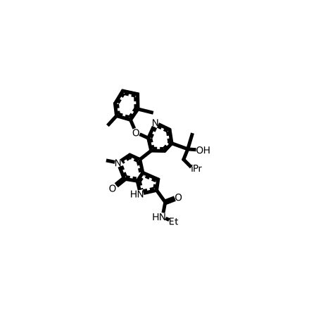 CCNC(=O)c1cc2c(-c3cc(C(C)(O)CC(C)C)cnc3Oc3c(C)cccc3C)cn(C)c(=O)c2[nH]1